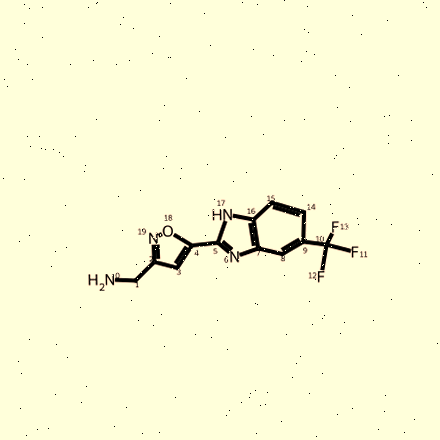 NCc1cc(-c2nc3cc(C(F)(F)F)ccc3[nH]2)on1